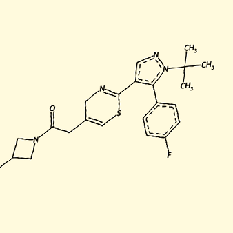 CC(C)(C)n1ncc(C2=NCC(CC(=O)N3CC(O)C3)=CS2)c1-c1ccc(F)cc1